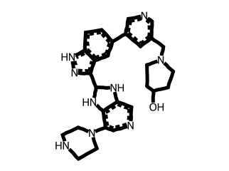 OC1CCN(Cc2cncc(-c3ccc4[nH]nc(C5Nc6cncc(N7CCNCC7)c6N5)c4c3)c2)CC1